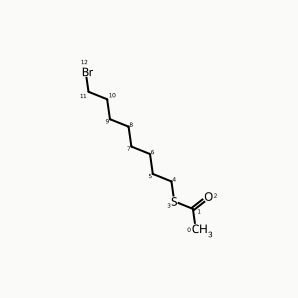 CC(=O)SCCCCCCCCBr